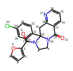 O=C(c1ccco1)N1CCN2C(=O)c3cccnc3CC12c1ccc(Cl)cc1